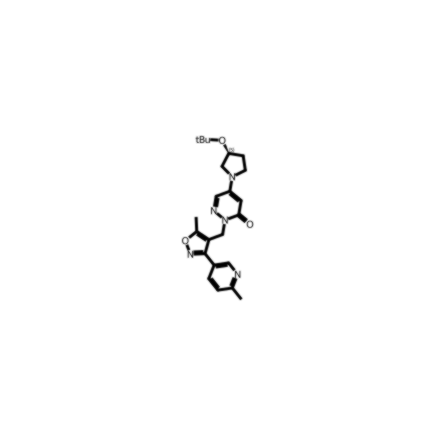 Cc1ccc(-c2noc(C)c2Cn2ncc(N3CC[C@H](OC(C)(C)C)C3)cc2=O)cn1